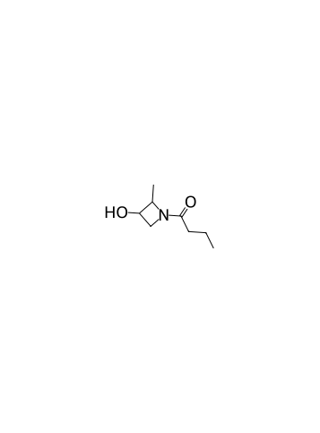 CCCC(=O)N1CC(O)C1C